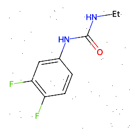 [CH2]CNC(=O)Nc1ccc(F)c(F)c1